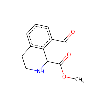 COC(=O)C1NCCc2cccc([C]=O)c21